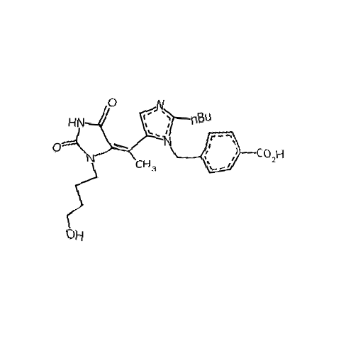 CCCCc1ncc(/C(C)=C2\C(=O)NC(=O)N2CCCCO)n1Cc1ccc(C(=O)O)cc1